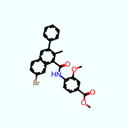 COC(=O)c1ccc(NC(=O)c2c(C)c(-c3ccccc3)cc3ccc(Br)cc23)c(OC)c1